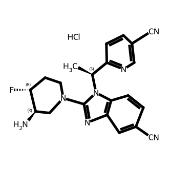 C[C@@H](c1ccc(C#N)cn1)n1c(N2CC[C@@H](F)[C@H](N)C2)nc2cc(C#N)ccc21.Cl